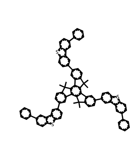 CC1(C)c2ccc(-c3ccc4sc5ccc(-c6ccccc6)cc5c4c3)cc2-c2c1c1c(c3c2C(C)(C)c2ccc(-c4ccc5sc6ccc(-c7ccccc7)cc6c5c4)cc2-3)C(C)(C)c2ccc(-c3ccc4sc5ccc(-c6ccccc6)cc5c4c3)cc2-1